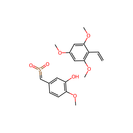 C=Cc1c(OC)cc(OC)cc1OC.COc1ccc(C=S(=O)=O)cc1O